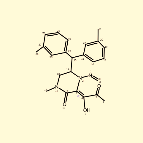 C=NN1/C(=C(/O)C(C)=O)C(=O)N(C)CC1C(c1cccc(C)c1)c1cccc(C)c1